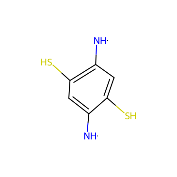 [NH]c1cc(S)c([NH])cc1S